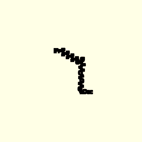 CCCCCCCCCCOCCOCCOCCCC(=O)OCCCCCCCC(C)C